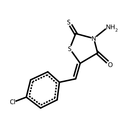 NN1C(=O)/C(=C/c2ccc(Cl)cc2)SC1=S